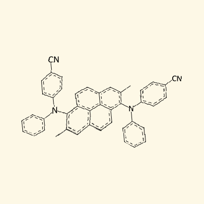 Cc1cc2ccc3c(N(c4ccccc4)c4ccc(C#N)cc4)c(C)cc4ccc(c1N(c1ccccc1)c1ccc(C#N)cc1)c2c43